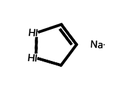 C1=C[IH][IH]C1.[Na]